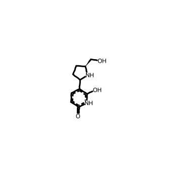 O=c1ccc(C2CC[C@@H](CO)N2)c(O)[nH]1